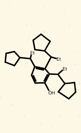 CCC(c1ccc(O)c(C(CC)C2CCCC2)c1C(CC)C1CCCC1)C1CCCC1